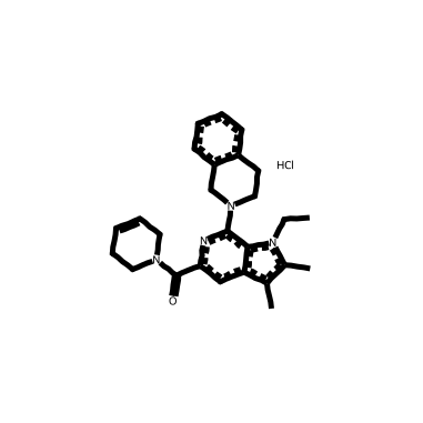 CCn1c(C)c(C)c2cc(C(=O)N3CC=CCC3)nc(N3CCc4ccccc4C3)c21.Cl